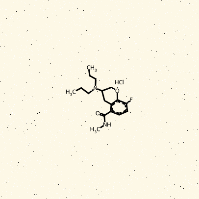 CCCN(CCC)C1COc2c(F)ccc(C(=O)NC)c2C1.Cl